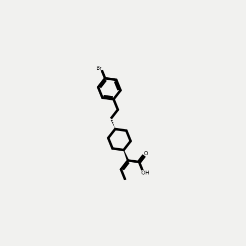 CC=C(C(=O)O)[C@H]1CC[C@H](CCc2ccc(Br)cc2)CC1